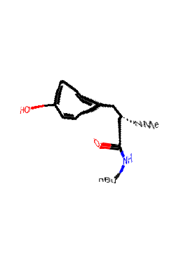 CCCCNC(=O)[C@H](Cc1ccc(O)cc1)NC